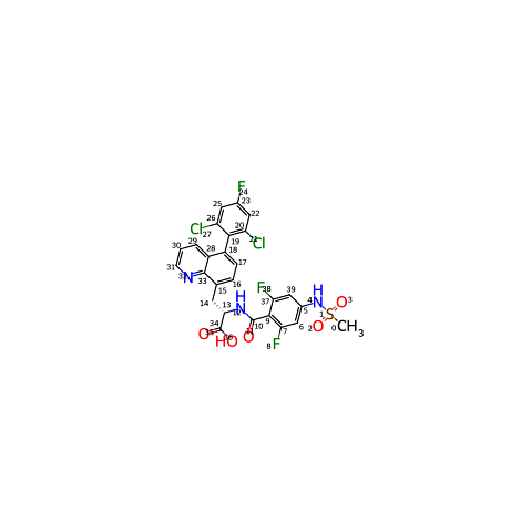 CS(=O)(=O)Nc1cc(F)c(C(=O)N[C@@H](Cc2ccc(-c3c(Cl)cc(F)cc3Cl)c3cccnc23)C(=O)O)c(F)c1